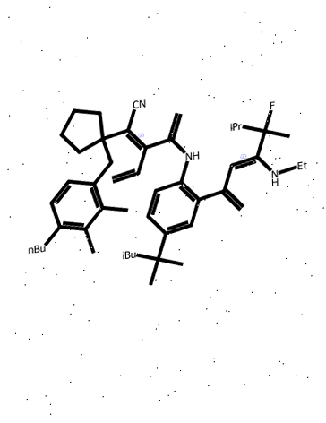 C=C/C(C(=C)Nc1ccc(C(C)(C)C(C)CC)cc1C(=C)/C=C(\NCC)C(C)(F)C(C)C)=C(/C#N)C1(Cc2ccc(CCCC)c(C)c2C)CCCC1